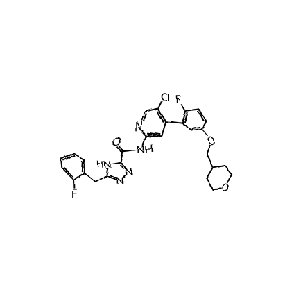 O=C(Nc1cc(-c2cc(OCC3CCOCC3)ccc2F)c(Cl)cn1)c1nnc(Cc2ccccc2F)[nH]1